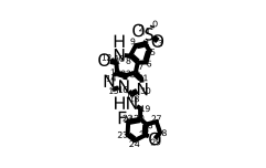 CS(=O)(=O)c1ccc2c(c1)NC(=O)c1ncn3c(NCc4c(F)ccc5c4CCO5)ncc-2c13